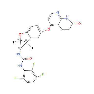 O=C1CCc2c(OC3=CC=C4O[C@@H]5[C@@H](NC(=O)Nc6c(F)ccc(F)c6F)[C@@H]5C4C3)ccnc2N1